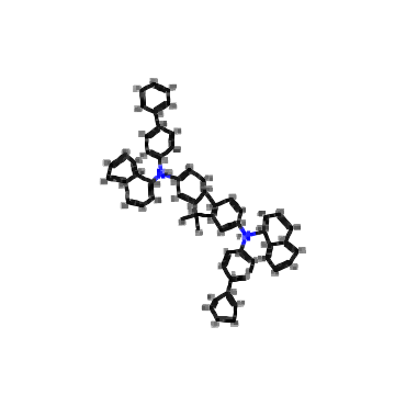 C=C(/C=C\C(=C/C)N(c1ccc2c(c1)C(C)(C)c1cc(N(c3ccc(-c4ccccc4)cc3)c3cccc4ccccc34)ccc1-2)c1cccc2ccccc12)c1ccccc1